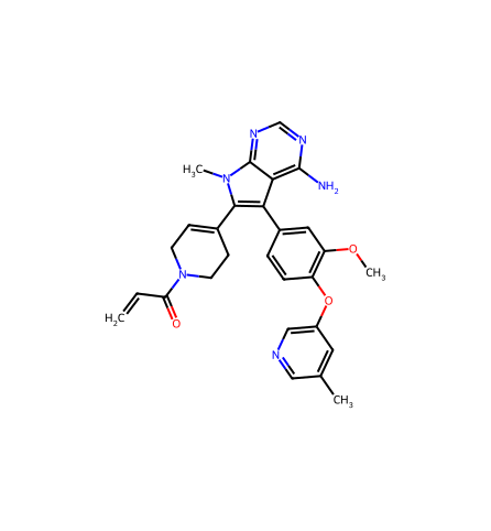 C=CC(=O)N1CC=C(c2c(-c3ccc(Oc4cncc(C)c4)c(OC)c3)c3c(N)ncnc3n2C)CC1